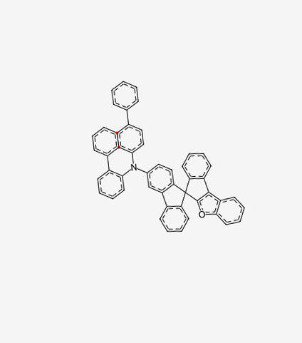 c1ccc(-c2ccc(N(c3ccc4c(c3)-c3ccccc3C43c4ccccc4-c4c3oc3ccccc43)c3ccccc3-c3ccccc3)cc2)cc1